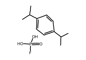 CC(C)c1ccc(C(C)C)cc1.O=P(O)(O)F